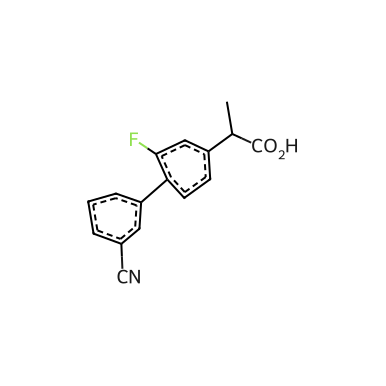 CC(C(=O)O)c1ccc(-c2cccc(C#N)c2)c(F)c1